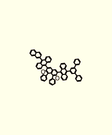 c1ccc(-c2cc(-c3ccccc3)cc(-c3c4ccccc4c(-c4cc5cc(-c6c7ccccc7c(-c7ccc8ccccc8c7)c7ccccc67)c6oc7ccccc7c6c5c5c4oc4ccccc45)c4ccccc34)c2)cc1